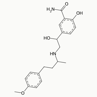 COc1ccc(CCC(C)NCC(O)c2ccc(O)c(C(N)=O)c2)cc1